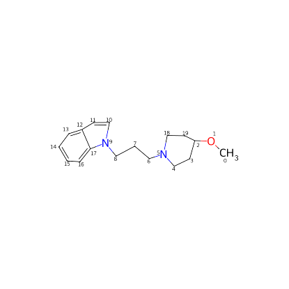 COC1CCN(CCCn2ccc3ccccc32)CC1